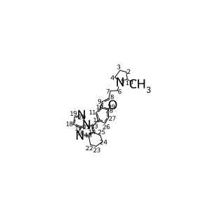 CC1CCCN1CCc1cc2cc(-c3c4c(nc5ccnn35)CCCC4)ccc2o1